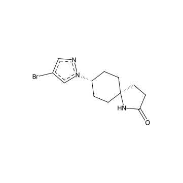 O=C1CC[C@]2(CC[C@@H](n3cc(Br)cn3)CC2)N1